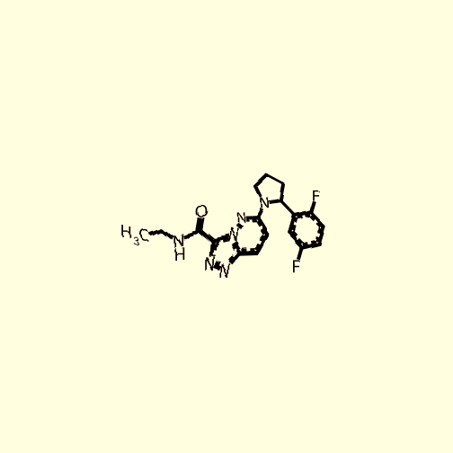 CCNC(=O)c1nnc2ccc(N3CCCC3c3cc(F)ccc3F)nn12